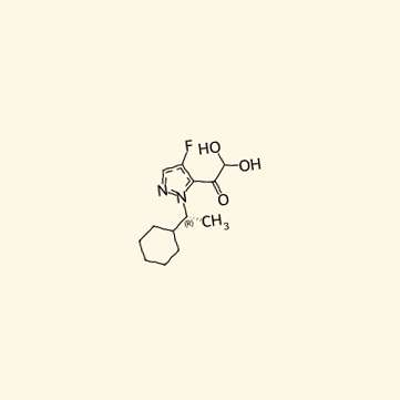 C[C@H](C1CCCCC1)n1ncc(F)c1C(=O)C(O)O